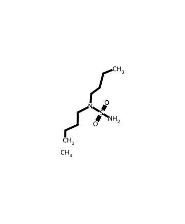 C.CCCCN(CCCC)S(N)(=O)=O